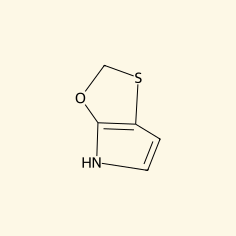 c1cc2c([nH]1)OCS2